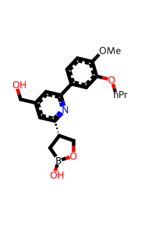 CCCOc1cc(-c2cc(CO)cc([C@@H]3COB(O)C3)n2)ccc1OC